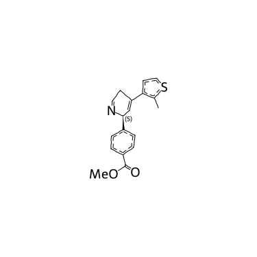 COC(=O)c1ccc([C@@H]2C=C(c3ccsc3C)CC=N2)cc1